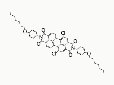 CCCCCCCOc1ccc(N2C(=O)c3ccc4c5c(Cl)cc6c7c(cc(Cl)c(c8ccc(c3c48)C2=O)c75)C(=O)N(c2ccc(OCCCCCCC)cc2)C6=O)cc1